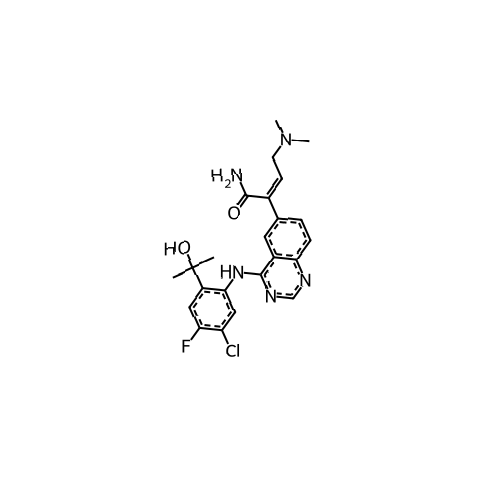 CN(C)CC=C(C(N)=O)c1ccc2ncnc(Nc3cc(Cl)c(F)cc3C(C)(C)O)c2c1